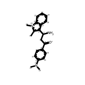 Cc1c(C(N)CC(=O)c2ccc(N(C)C)cc2)c2ccccc2n1C